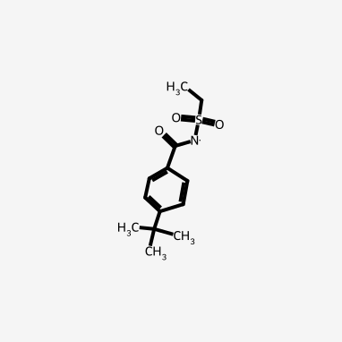 CCS(=O)(=O)[N]C(=O)c1ccc(C(C)(C)C)cc1